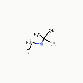 CC(C)(C)N[SiH2][Ti]